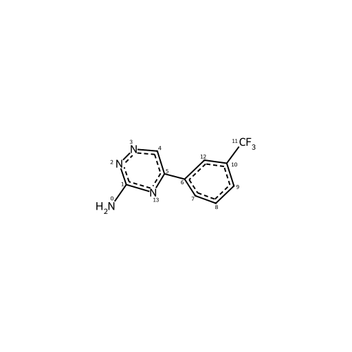 Nc1nncc(-c2cccc(C(F)(F)F)c2)n1